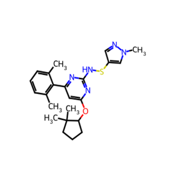 Cc1cccc(C)c1-c1cc(OC2CCCC2(C)C)nc(NSc2cnn(C)c2)n1